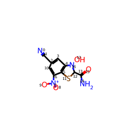 N#Cc1cc2c(c([N+](=O)[O-])c1)SC(C(N)=O)N2O